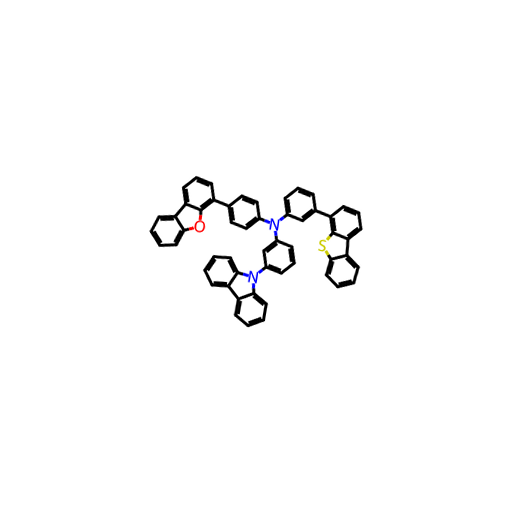 c1cc(-c2cccc3c2sc2ccccc23)cc(N(c2ccc(-c3cccc4c3oc3ccccc34)cc2)c2cccc(-n3c4ccccc4c4ccccc43)c2)c1